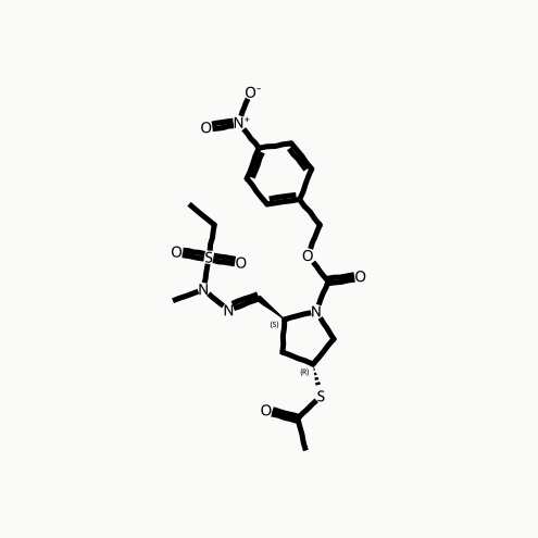 CCS(=O)(=O)N(C)N=C[C@@H]1C[C@@H](SC(C)=O)CN1C(=O)OCc1ccc([N+](=O)[O-])cc1